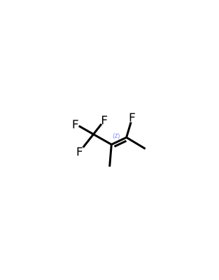 C/C(F)=C(\C)C(F)(F)F